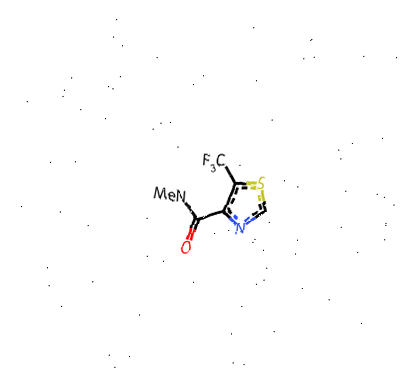 CNC(=O)c1ncsc1C(F)(F)F